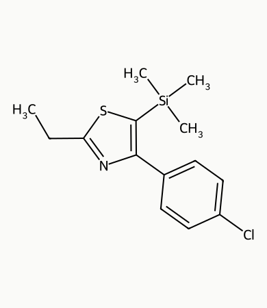 CCc1nc(-c2ccc(Cl)cc2)c([Si](C)(C)C)s1